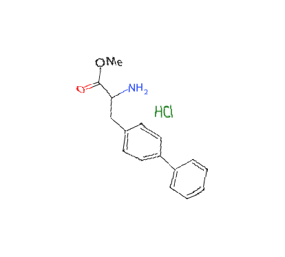 COC(=O)C(N)Cc1ccc(-c2ccccc2)cc1.Cl